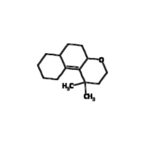 CC1(C)CCOC2CCC3CCCCC3=C21